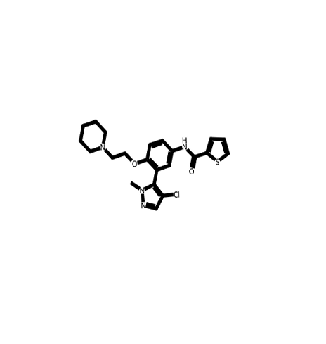 Cn1ncc(Cl)c1-c1cc(NC(=O)c2cccs2)ccc1OCCN1CCCCC1